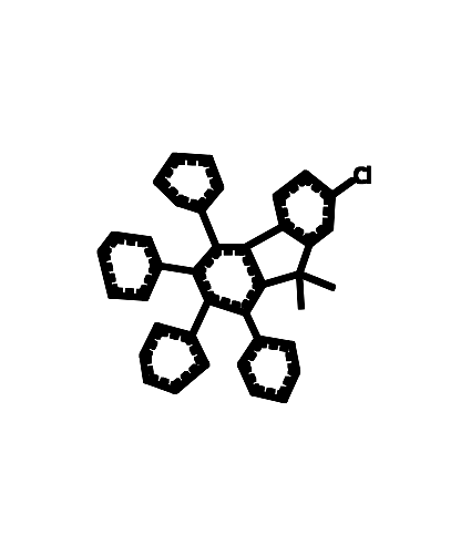 CC1(C)c2cc(Cl)ccc2-c2c(-c3ccccc3)c(-c3ccccc3)c(-c3ccccc3)c(-c3ccccc3)c21